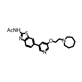 CC(=O)Nc1nc2ccc(-c3cncc(OCCN4CCCCCC4)c3)cc2s1